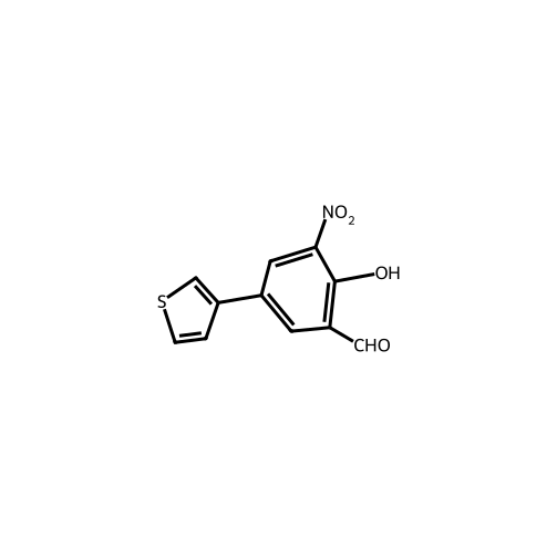 O=Cc1cc(-c2ccsc2)cc([N+](=O)[O-])c1O